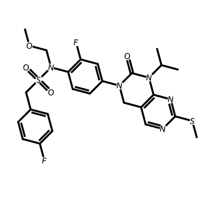 COCN(c1ccc(N2Cc3cnc(SC)nc3N(C(C)C)C2=O)cc1F)S(=O)(=O)Cc1ccc(F)cc1